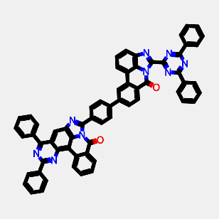 O=c1c2ccc(-c3ccc(-c4nc5cc6c(-c7ccccc7)nc(-c7ccccc7)nc6c6c7ccccc7c(=O)n4c56)cc3)cc2c2cccc3nc(-c4nc(-c5ccccc5)nc(-c5ccccc5)n4)n1c32